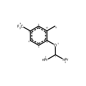 CCCC(CCC)Oc1ccc(C(F)(F)F)cc1C